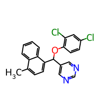 Cc1ccc(C(Oc2ccc(Cl)cc2Cl)c2cncnc2)c2ccccc12